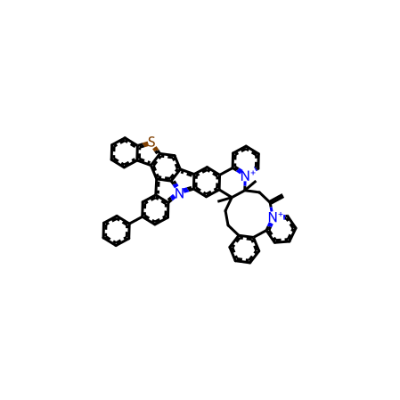 C=C1CC2(C)[n+]3ccccc3-c3cc4c5cc6sc7ccccc7c6c6c7cc(-c8ccccc8)ccc7n(c4cc3C2(C)CCc2ccccc2-c2cccc[n+]21)c56